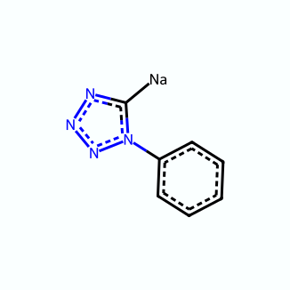 [Na][c]1nnnn1-c1ccccc1